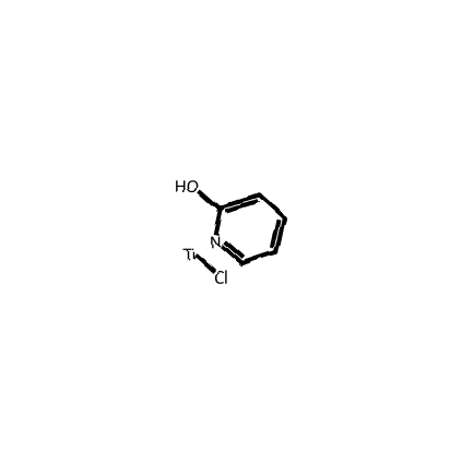 Oc1ccccn1.[Cl][Ti]